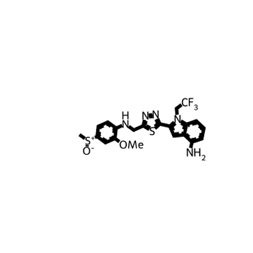 COc1cc([S+](C)[O-])ccc1NCc1nnc(-c2cc3c(N)cccc3n2CC(F)(F)F)s1